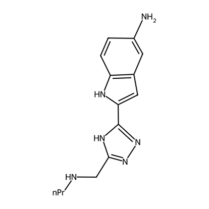 CCCNCc1nnc(-c2cc3cc(N)ccc3[nH]2)[nH]1